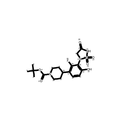 CC(C)(C)OC(=O)N1CCC(c2ccc(O)c(N3CC(=O)NS3(=O)=O)c2F)CC1